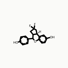 Oc1ccc(C2Oc3ccc(O)cc3[C@@H]3CC(F)(F)CC23)cc1